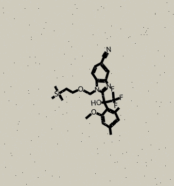 COc1cc(C)cc(C)c1C(O)(c1nc2cc(C#N)ccc2n1COCC[Si](C)(C)C)C(F)(F)F